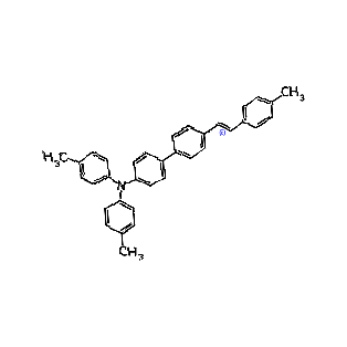 Cc1ccc(/C=C/c2ccc(-c3ccc(N(c4ccc(C)cc4)c4ccc(C)cc4)cc3)cc2)cc1